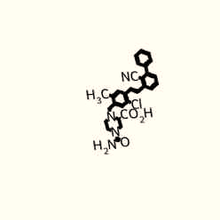 Cc1cc(/C=C/c2cccc(-c3ccccc3)c2C#N)c(Cl)cc1CN1CCN(C(N)=O)C[C@H]1C(=O)O